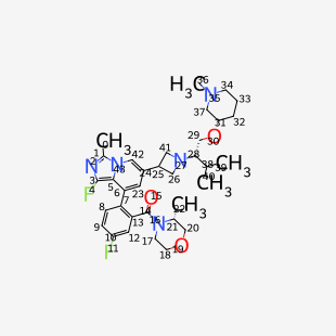 Cc1nc(F)c2c(-c3ccc(F)cc3C(=O)N3CCOC[C@H]3C)cc(C3CN([C@H](CO[C@H]4CCCN(C)C4)C(C)C)C3)cn12